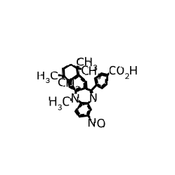 CN1c2ccc(N=O)cc2N=C(c2ccc(C(=O)O)cc2)c2cc3c(cc21)C(C)(C)CCC3(C)C